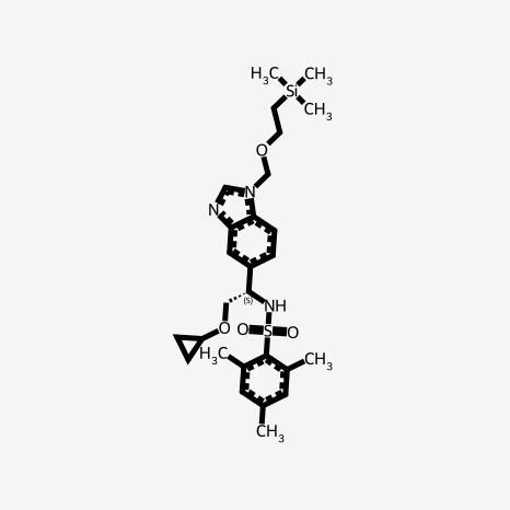 Cc1cc(C)c(S(=O)(=O)N[C@H](COC2CC2)c2ccc3c(c2)ncn3COCC[Si](C)(C)C)c(C)c1